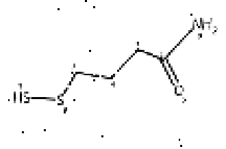 NC(=O)CC[CH]SS